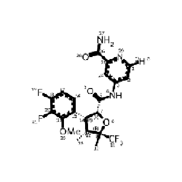 [2H]c1cc(NC(=O)[C@@H]2O[C@@](C)(C(F)(F)F)[C@H](C)[C@@H]2c2ccc(F)c(F)c2OC)cc(C(N)=O)n1